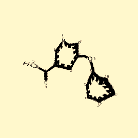 O=C(O)c1cncc(Oc2ccccc2)c1